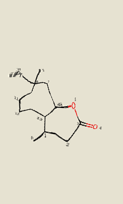 CC1CC(=O)OC2CC(C)(C(C)C)CCC12